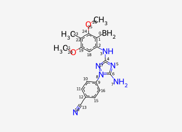 Bc1c(Nc2nc(N)n(-c3ccc(C#N)cc3)n2)cc(OC)c(C)c1OC